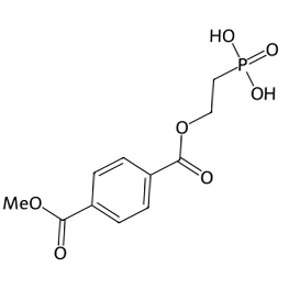 COC(=O)c1ccc(C(=O)OCCP(=O)(O)O)cc1